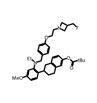 CCN(Cc1ccc(OCCN2CC(CF)C2)cc1)c1cc(OC)ccc1C1CCc2cc(OC(=O)C(C)(C)C)ccc2C1